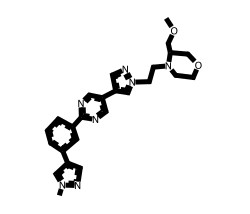 COCC1COCCN1CCn1cc(-c2cnc(-c3cccc(-c4cnn(C)c4)c3)nc2)cn1